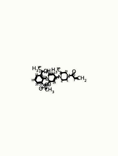 C=CC(=O)N1CCN(c2cc(F)n(-c3c(C(C)C)cccc3S(C)(=O)=O)c(=O)c2)C(C)C1